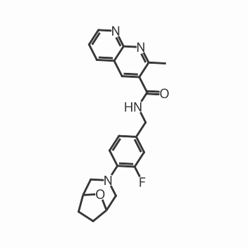 Cc1nc2ncccc2cc1C(=O)NCc1ccc(N2CC3CCC(C2)O3)c(F)c1